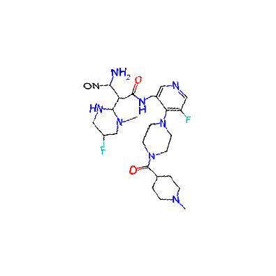 CN1CCC(C(=O)N2CCN(c3c(F)cncc3NC(=O)C(C(N)N=O)C3NCC(F)CN3C)CC2)CC1